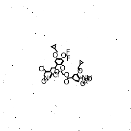 CS(=O)(=O)Nc1ccc(C(=O)OCC(=O)OC(Cc2c(Cl)c[n+]([O-])cc2Cl)c2ccc(OC(F)F)c(OCC3CC3)c2)cc1OCC1CC1